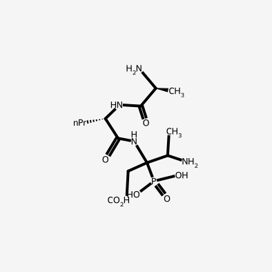 CCC[C@H](NC(=O)[C@H](C)N)C(=O)NC(CC(=O)O)(C(C)N)P(=O)(O)O